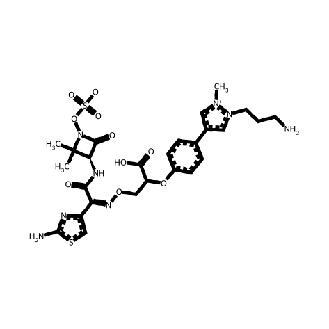 C[n+]1cc(-c2ccc(OC(CON=C(C(=O)N[C@@H]3C(=O)N(OS(=O)(=O)[O-])C3(C)C)c3csc(N)n3)C(=O)O)cc2)cn1CCCN